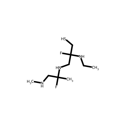 CCNC(F)(CS)CNC(C)(F)CNC